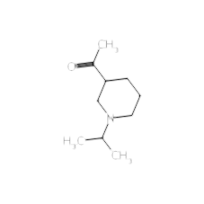 CC(=O)C1CCCN(C(C)C)C1